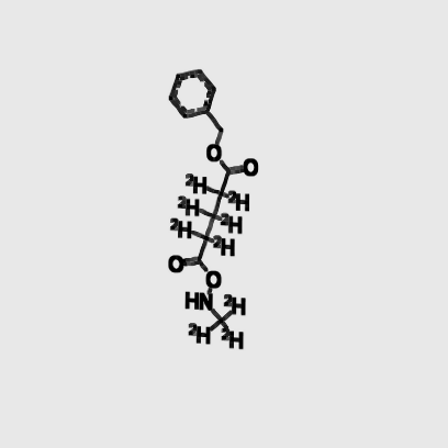 [2H]C([2H])([2H])NOC(=O)C([2H])([2H])C([2H])([2H])C([2H])([2H])C(=O)OCc1ccccc1